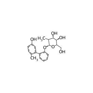 Cc1ccc(O)cc1-c1ccccc1O[C@@H]1OC(CO)[C@H](O)[C@H](O)C1C